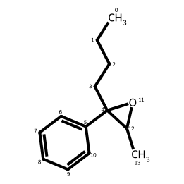 CCCCC1(c2ccccc2)OC1C